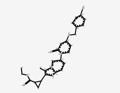 CCOC(=O)C1CC1c1nc2ccc(-n3ccc(OCc4ccc(Cl)cc4)cc3=O)cn2c1C